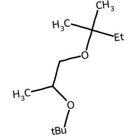 CCC(C)(C)OCC(C)OC(C)(C)C